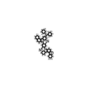 N#Cc1cc(-n2c3ccccc3c3c4c(ccc32)oc2ccccc24)c(C#N)cc1-n1c2ccc(N(c3ccccc3)c3ccccc3)cc2c2c3ccccc3ccc21